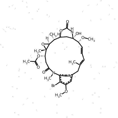 COc1cc2cc(c1Br)N(C)C(=O)C[C@H](OC(C)=O)[C@]1(C)O[C@H]1[C@H](C)[C@@H]1C[C@@](O)(NC(=O)O1)[C@H](OC)/C=C/C=C(\C)C2